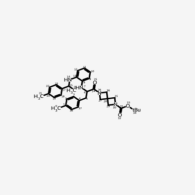 Cc1ccc(CC(Nc2ccccc2NC(C)c2ccc(C)cc2)C(=O)N2CC3(CN(C(=O)OC(C)(C)C)C3)C2)cc1